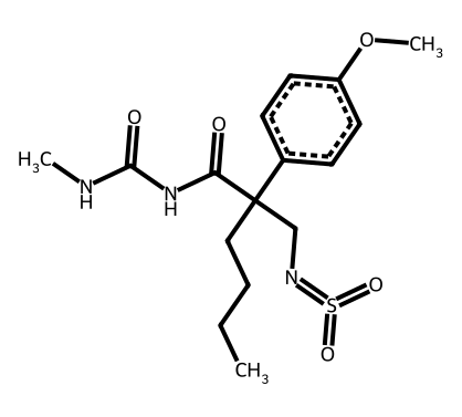 CCCCC(CN=S(=O)=O)(C(=O)NC(=O)NC)c1ccc(OC)cc1